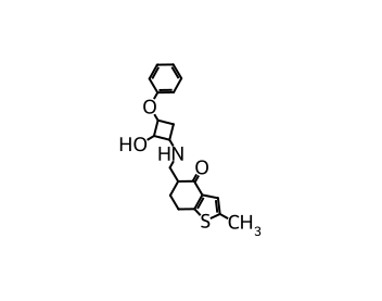 Cc1cc2c(s1)CCC(CNC1CC(Oc3ccccc3)C1O)C2=O